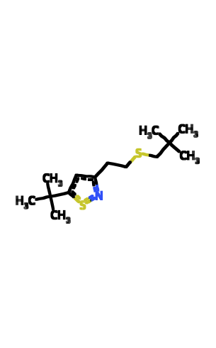 CC(C)(C)CSCCc1cc(C(C)(C)C)sn1